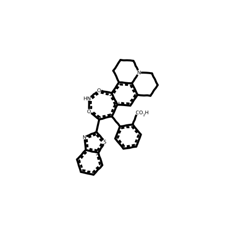 O=C(O)c1ccccc1-c1c(-c2nc3ccccc3s2)o[nH]oc2c3c4c(cc12)CCCN4CCC3